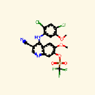 COc1cc(Nc2c(C#N)cnc3cc(OS(=O)(=O)C(F)(F)F)c(OC)cc23)c(Cl)cc1Cl